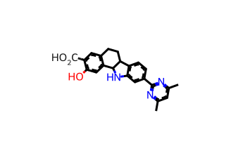 Cc1cc(C)nc(-c2ccc3c(c2)NC2c4cc(O)c(C(=O)O)cc4CCC32)n1